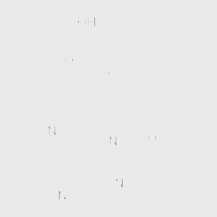 Cc1nc(C#N)c(C#N)nc1Oc1cccc(OCC(=O)O)c1